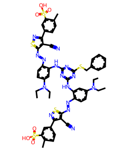 CCN(CC)c1ccc(/N=N/c2snc(-c3ccc(C)c(S(=O)(=O)O)c3)c2C#N)c(Nc2nc(Nc3cc(N(CC)CC)ccc3/N=N/c3snc(-c4ccc(C)c(S(=O)(=O)O)c4)c3C#N)nc(SCc3ccccc3)n2)c1